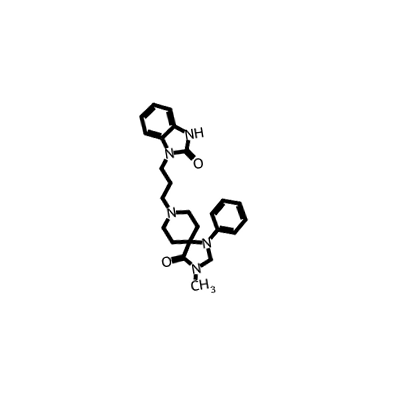 CN1CN(c2ccccc2)C2(CCN(CCCn3c(=O)[nH]c4ccccc43)CC2)C1=O